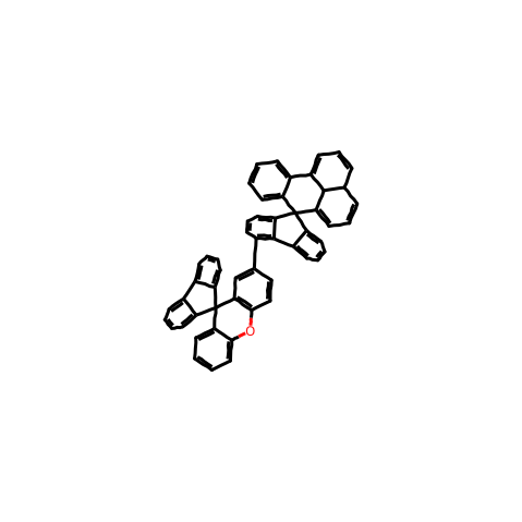 C1=CC2C=CC=C3C2C(=C1)c1ccccc1C31c2ccccc2-c2c(-c3ccc4c(c3)C3(c5ccccc5O4)c4ccccc4-c4ccccc43)cccc21